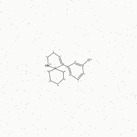 Clc1cccc(C2=CCCNC23CCCCC3)c1